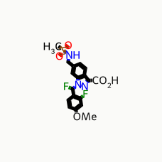 COc1ccc(C(F)n2nc(C(=O)O)c3ccc(CNS(C)(=O)=O)cc32)c(F)c1